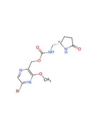 COc1nc(Br)cnc1COC(=O)NC[C@@H]1CCC(=O)N1